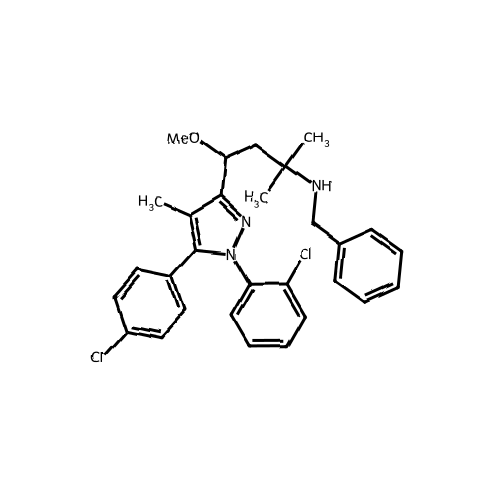 COC(CC(C)(C)NCc1ccccc1)c1nn(-c2ccccc2Cl)c(-c2ccc(Cl)cc2)c1C